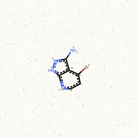 Nc1n[nH]c2nccc(Br)c12